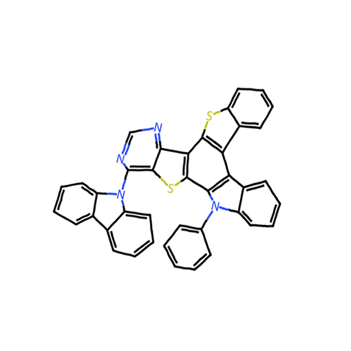 c1ccc(-n2c3ccccc3c3c4c5ccccc5sc4c4c5ncnc(-n6c7ccccc7c7ccccc76)c5sc4c32)cc1